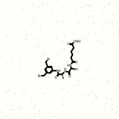 COC(=O)CCCCC(=O)NC(C(=O)N[C@@H](C)C(=O)Nc1cc(CBr)cc(CBr)c1)C(C)C